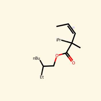 C/C=C\C(C)(C(=O)OCC(CC)CCCC)C(C)C